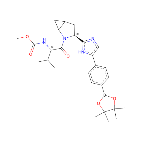 COC(=O)N[C@H](C(=O)N1C2CC2C[C@H]1c1ncc(-c2ccc(B3OC(C)(C)C(C)(C)O3)cc2)[nH]1)C(C)C